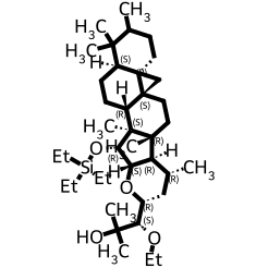 CCO[C@@H]([C@H]1C[C@@H](C)[C@H]2[C@H](O1)[C@H](O[Si](CC)(CC)CC)[C@@]1(C)[C@@H]3CC[C@H]4C(C)(C)C(C)CC[C@@]45C[C@@]35CC[C@]21C)C(C)(C)O